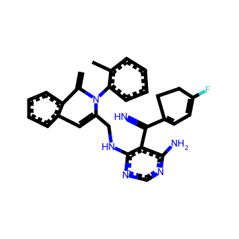 C=C1c2ccccc2C=C(CNc2ncnc(N)c2C(=N)C2=CC=C(F)CC2)N1c1ccccc1C